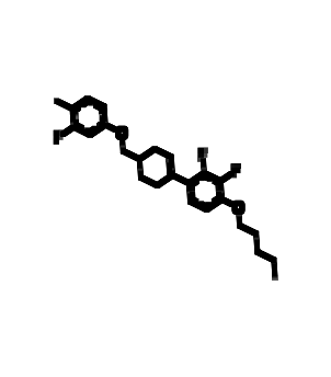 CCCCCOc1ccc(C2=CCC(COc3ccc(C)c(F)c3)CC2)c(F)c1F